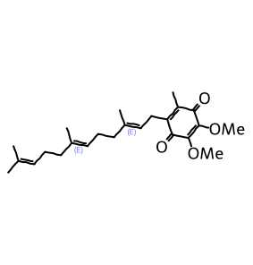 COC1=C(OC)C(=O)C(C/C=C(\C)CC/C=C(\C)CCC=C(C)C)=C(C)C1=O